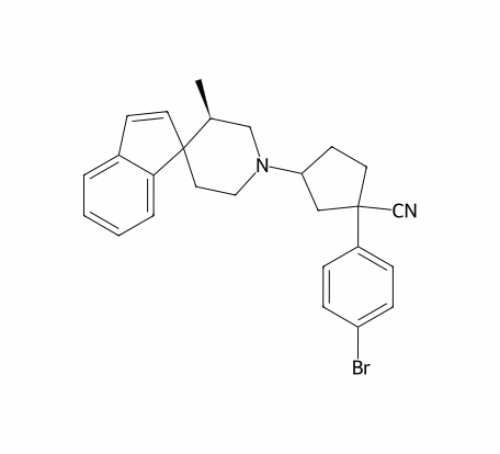 C[C@H]1CN(C2CCC(C#N)(c3ccc(Br)cc3)C2)CCC12C=Cc1ccccc12